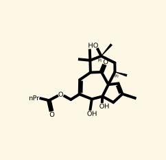 CCCC(=O)OCC1=CC2C(=O)C3(C=C(C)CC3(O)C1O)[C@H](C)C[C@@](C)(O)C2(C)C